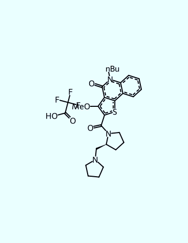 CCCCn1c(=O)c2c(OC)c(C(=O)N3CCC[C@H]3CN3CCCC3)sc2c2ccccc21.O=C(O)C(F)(F)F